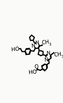 CCc1cc(Cc2ccc(CC(=O)O)cc2)nc(C2CCC(c3c(CC)nc(C4CCCC4)nc3Cc3ccc(CCO)cc3)C2)n1